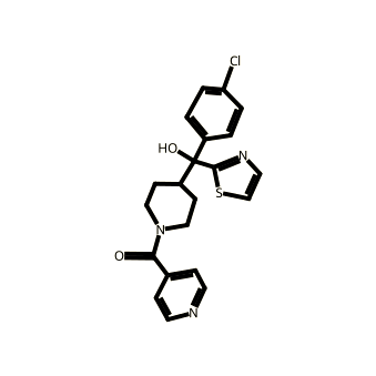 O=C(c1ccncc1)N1CCC(C(O)(c2ccc(Cl)cc2)c2nccs2)CC1